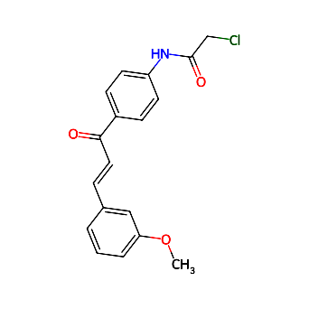 COc1cccc(C=CC(=O)c2ccc(NC(=O)CCl)cc2)c1